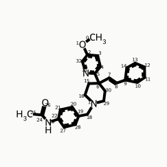 COc1ccc(C2(/C=C/c3ccccc3)CCN(Cc3ccc(NC(C)=O)cc3)CC2)nc1